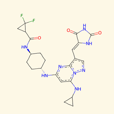 O=C1NC(=O)/C(=C/c2cnn3c(NC4CC4)cc(N[C@H]4CC[C@H](NC(=O)C5CC5(F)F)CC4)nc23)N1